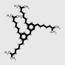 CC(C)CCCCCc1[c]c(Cc2[c]c(CCCCCC(C)C)cc(CCCCCC(C)C)c2)cc(CCCCCC(C)C)c1